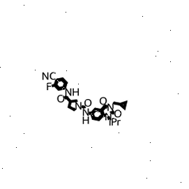 CC(C)n1c(=O)n(CC2CC2)c(=O)c2cc(NC(=O)N3CCC(C(=O)Nc4ccc(C#N)c(F)c4)C3)ccc21